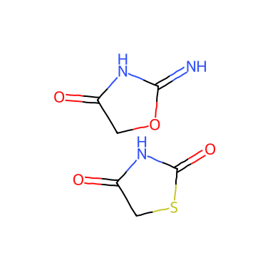 N=C1NC(=O)CO1.O=C1CSC(=O)N1